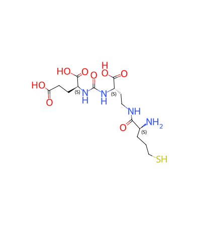 N[C@@H](CCCS)C(=O)NCC[C@H](NC(=O)N[C@@H](CCC(=O)O)C(=O)O)C(=O)O